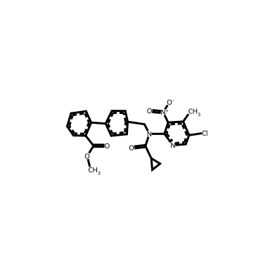 COC(=O)c1ccccc1-c1ccc(CN(C(=O)C2CC2)c2ncc(Cl)c(C)c2[N+](=O)[O-])cc1